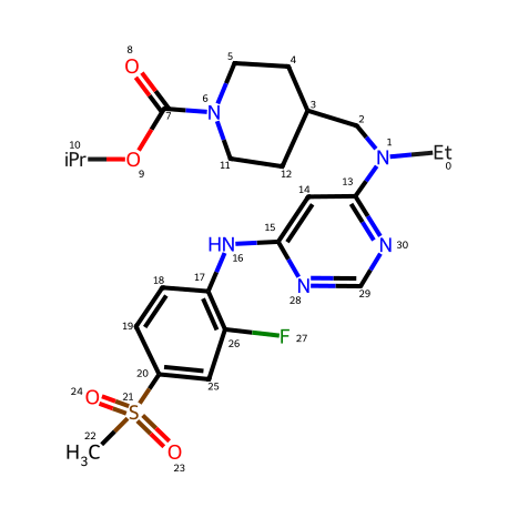 CCN(CC1CCN(C(=O)OC(C)C)CC1)c1cc(Nc2ccc(S(C)(=O)=O)cc2F)ncn1